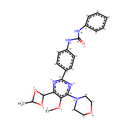 CCOc1c(C2OC(C)O2)nc(-c2ccc(NC(=O)Nc3ccccc3)cc2)nc1N1CCOCC1